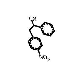 N#CC(Cc1ccc([N+](=O)[O-])cc1)c1ccccc1